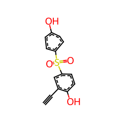 C#Cc1cc(S(=O)(=O)c2ccc(O)cc2)ccc1O